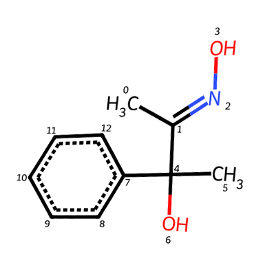 C/C(=N\O)C(C)(O)c1ccccc1